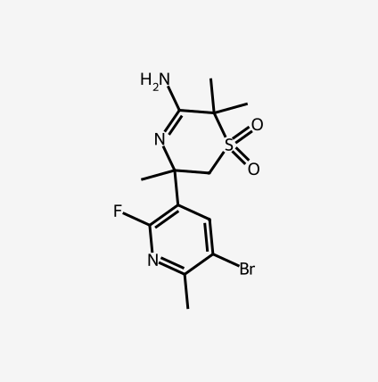 Cc1nc(F)c(C2(C)CS(=O)(=O)C(C)(C)C(N)=N2)cc1Br